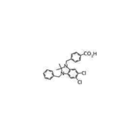 CC1(C)N(Cc2ccccc2)c2cc(Cl)c(Cl)cc2N1Cc1ccc(C(=O)O)cc1